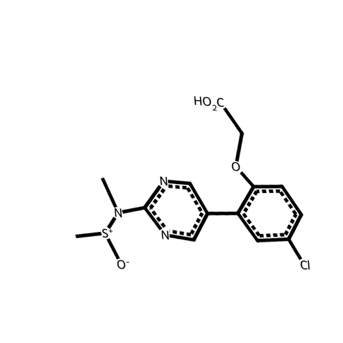 CN(c1ncc(-c2cc(Cl)ccc2OCC(=O)O)cn1)[S+](C)[O-]